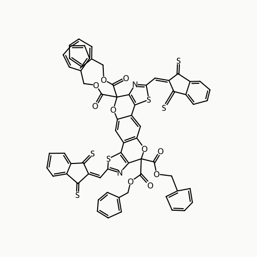 O=C(OCc1ccccc1)C1(C(=O)OCc2ccccc2)Oc2cc3c(cc2-c2sc(C=C4C(=S)c5ccccc5C4=S)nc21)OC(C(=O)OCc1ccccc1)(C(=O)OCc1ccccc1)c1nc(C=C2C(=S)c4ccccc4C2=S)sc1-3